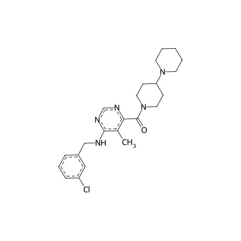 Cc1c(NCc2cccc(Cl)c2)ncnc1C(=O)N1CCC(N2CCCCC2)CC1